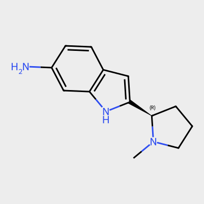 CN1CCC[C@@H]1c1cc2ccc(N)cc2[nH]1